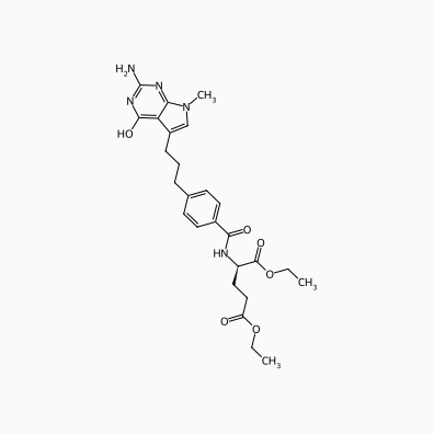 CCOC(=O)CC[C@@H](NC(=O)c1ccc(CCCc2cn(C)c3nc(N)nc(O)c23)cc1)C(=O)OCC